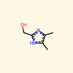 Cc1nc(CO)[nH]c1C